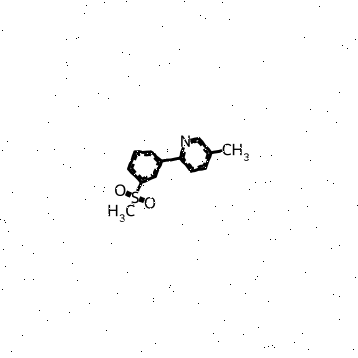 Cc1ccc(-c2cccc(S(C)(=O)=O)c2)nc1